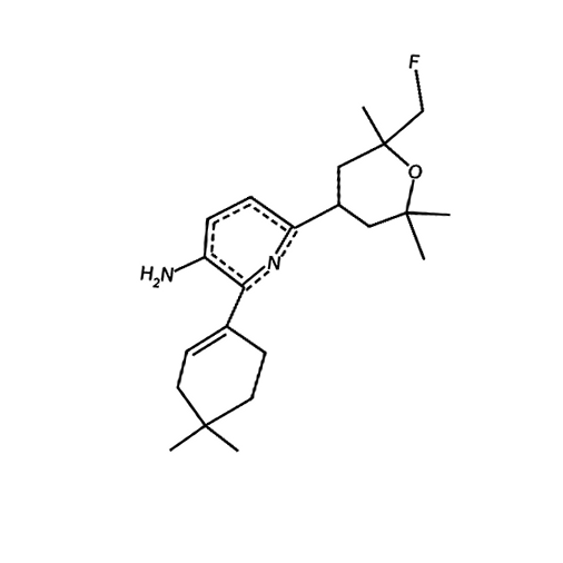 CC1(C)CC=C(c2nc(C3CC(C)(C)OC(C)(CF)C3)ccc2N)CC1